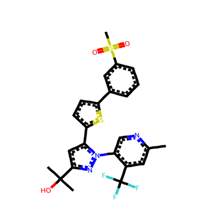 Cc1cc(C(F)(F)F)c(-n2nc(C(C)(C)O)cc2-c2ccc(-c3cccc(S(C)(=O)=O)c3)s2)cn1